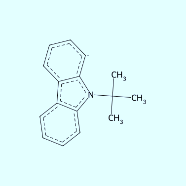 CC(C)(C)n1c2[c]cccc2c2ccccc21